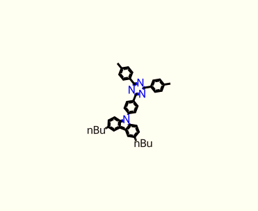 CCCCc1ccc2c(c1)c1cc(CCCC)ccc1n2-c1ccc(-c2nc(-c3ccc(C)cc3)nc(-c3ccc(C)cc3)n2)cc1